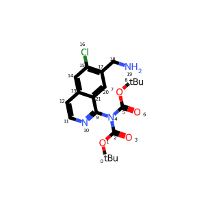 CC(C)(C)OC(=O)N(C(=O)OC(C)(C)C)c1nccc2cc(Cl)c(CN)cc12